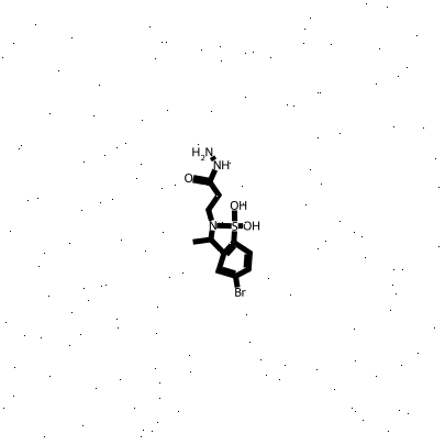 CC1c2cc(Br)ccc2S(O)(O)N1CCC(=O)NN